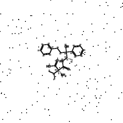 CC(C)[C@@](N)(C(=O)O)C(=O)N[C@@H](C)C(O)(CCc1ccccc1)c1ccccc1